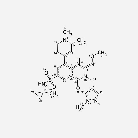 CO/N=c1\[nH]c2c(C3=C[C@@H](C)N(C)CC3)cc(S(=O)(=O)NC3(C)CC3)cc2c(=O)n1Cc1cnn(C)c1